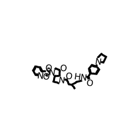 CC(CCNC(=O)c1ccc(N2CCCC2)cc1)CC(=O)N1CCC2C1C(=O)CN2S(=O)(=O)c1ccccn1